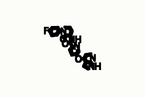 O=C(Nc1cccn(-c2ccc(F)cc2)c1=O)c1ccc(Oc2ccnc3[nH]ccc23)cn1